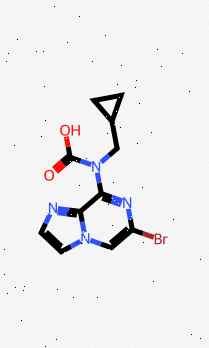 O=C(O)N(CC1CC1)c1nc(Br)cn2ccnc12